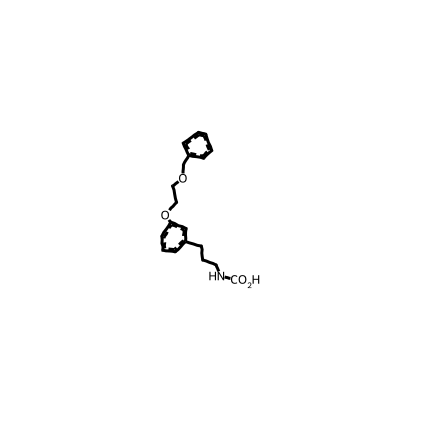 O=C(O)NCCCc1cccc(OCCOCc2ccccc2)c1